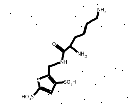 NCCCCC(N)C(=O)NCc1sc(S(=O)(=O)O)cc1S(=O)(=O)O